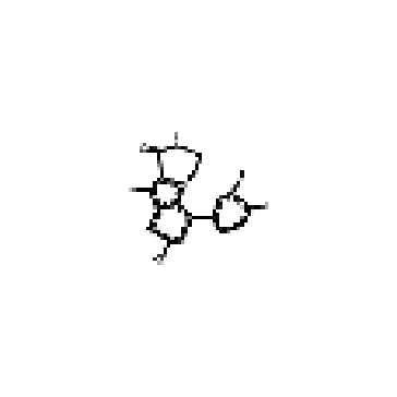 Cc1c2n(c3c(-c4ccc(F)c(F)c4)cc(Cl)cc13)CCNC2=O